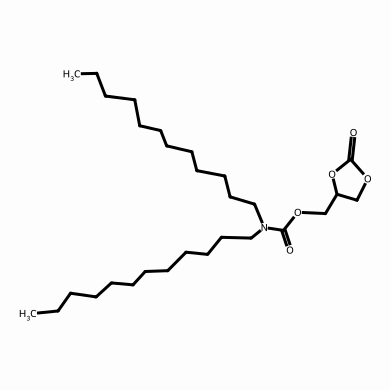 CCCCCCCCCCCCN(CCCCCCCCCCCC)C(=O)OCC1COC(=O)O1